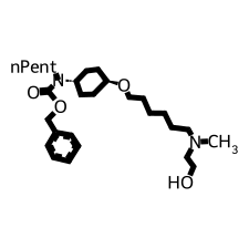 CCCCCN(C(=O)OCc1ccccc1)[C@H]1CC[C@H](OCCCCCCN(C)CCO)CC1